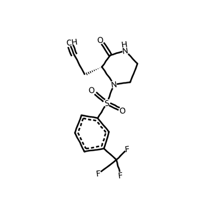 C#CC[C@@H]1C(=O)NCCN1S(=O)(=O)c1cccc(C(F)(F)F)c1